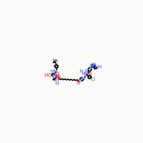 Cc1ncsc1-c1ccc(CNC(=O)[C@@H]2C[C@@H](O)CN2C(=O)C(NC(=O)CCCCCCCCCCCCC(=O)N2CCN(CC[C@H](NC(=O)C3(N)CCN(c4ncnc5[nH]ccc45)CC3)c3ccc(Cl)cc3)CC2)C(C)(C)C)cc1